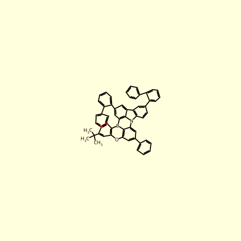 CC(C)(C)c1ccc2c(c1)Oc1cc(-c3ccccc3)cc3c1B2c1cc(-c2ccccc2-c2ccccc2)cc2c4cc(-c5ccccc5-c5ccccc5)ccc4n-3c12